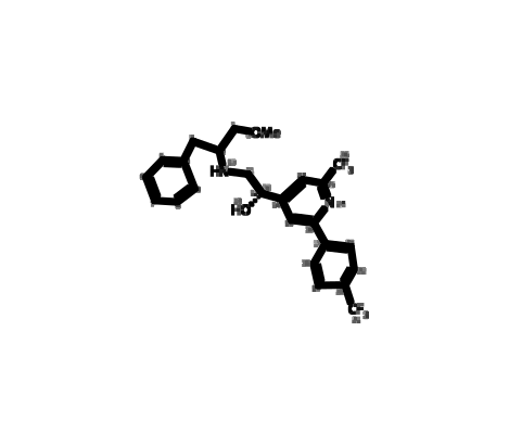 COCC(Cc1ccccc1)NC[C@@H](O)c1cc(-c2ccc(C(F)(F)F)cc2)nc(C(F)(F)F)c1